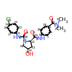 CN(C)C(=O)c1ccc(NC(=O)[C@H]2C[C@@H](O)CN2C(=O)Nc2ccc(Cl)cc2)cc1